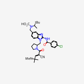 CNC(C)(C)C=C(C#N)C(=O)N1CCCC1Cn1c(NC(=O)c2ccc(Cl)cc2)nc2cc(CN(C(=O)O)C(C)C(C)(C)C)ccc21